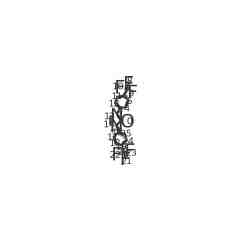 O=C1N(c2ccc(C(F)(F)F)cc2)CCN1c1ccc(C(F)(F)F)cc1